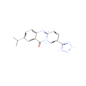 CC(C)c1ccc2nc3ccc(-c4nnn[nH]4)cn3c(=O)c2c1